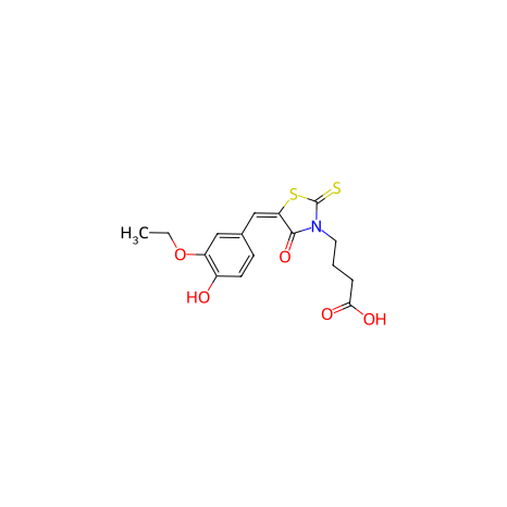 CCOc1cc(/C=C2/SC(=S)N(CCCC(=O)O)C2=O)ccc1O